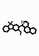 CCc1cc2c(cc1-c1nccc3c1ccc1ccccc13)C(C)(C)c1ccccc1-2